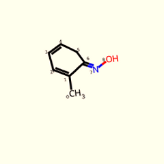 CC1=[C]C=CCC1=NO